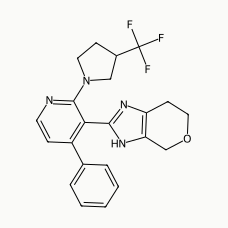 FC(F)(F)C1CCN(c2nccc(-c3ccccc3)c2-c2nc3c([nH]2)COCC3)C1